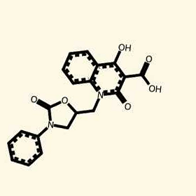 O=C(O)c1c(O)c2ccccc2n(CC2CN(c3ccccc3)C(=O)O2)c1=O